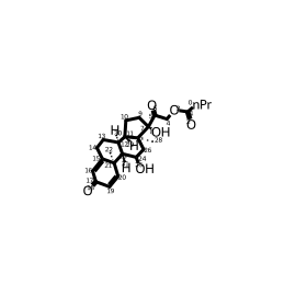 CCCC(=O)OCC(=O)[C@@]1(O)CC[C@H]2[C@@H]3CCC4=CC(=O)C=C[C@]4(C)[C@H]3C(O)C[C@@]21C